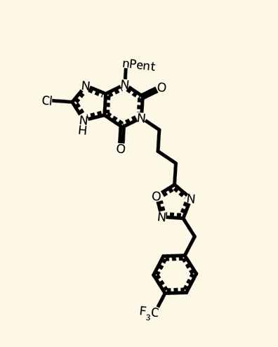 CCCCCn1c(=O)n(CCCc2nc(Cc3ccc(C(F)(F)F)cc3)no2)c(=O)c2[nH]c(Cl)nc21